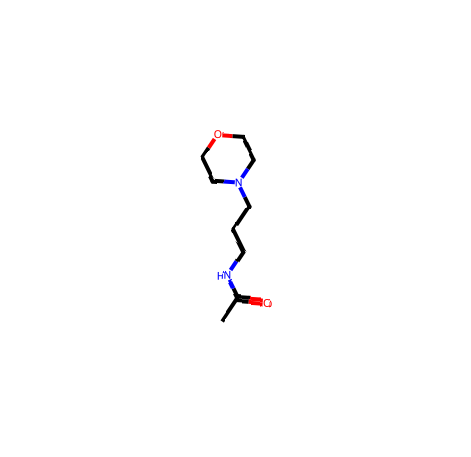 CC(=O)NCCCN1CCOCC1